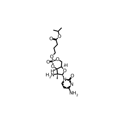 CC(C)OC(=O)CCCO[P@@]1(=O)OC[C@H]2O[C@@H](n3ccc(N)nc3=O)[C@](C)(N)[C@@H]2O1